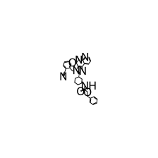 Cn1c(=O)c2c(nc([C@@H]3CCCC(NC(=O)OCc4ccccc4)C3)n2Cc2ccccc2C#N)c2cccnc21